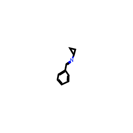 C(=NC1CC1)c1ccccc1